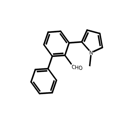 Cn1cccc1-c1cccc(-c2ccccc2)c1C=O